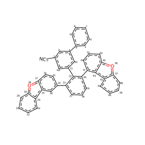 N#Cc1cc(-c2ccccc2)cc(-c2c(-c3ccc4oc5ccccc5c4c3)cccc2-c2cccc3oc4ccccc4c23)c1